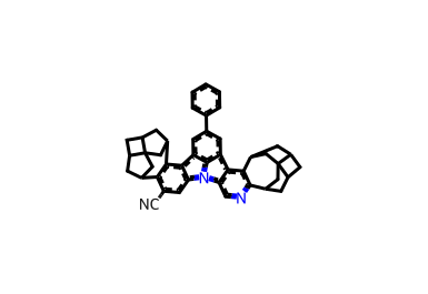 N#Cc1cc2c(c3c1C1CC4CC5CC3CC45C1)c1cc(-c3ccccc3)cc3c4c5c(ncc4n2c31)C1CC2CC3CC5CC23C1